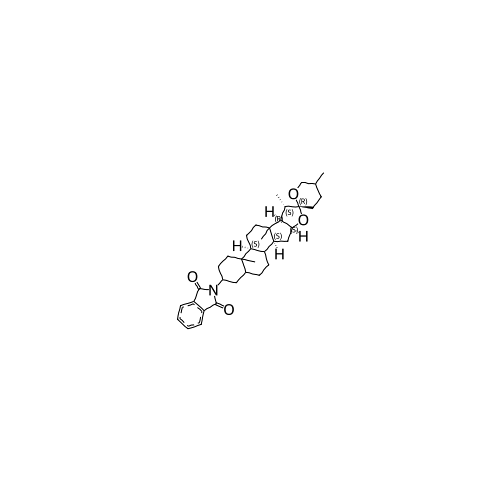 CC1CC[C@@]2(OC1)O[C@H]1C[C@H]3C4CCC5CC(N6C(=O)c7ccccc7C6=O)CCC5(C)[C@H]4CCC3(C)[C@H]1[C@@H]2C